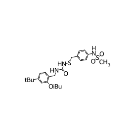 CC(C)COc1cc(C(C)(C)C)ccc1CNC(=O)NSCc1ccc(NS(C)(=O)=O)cc1